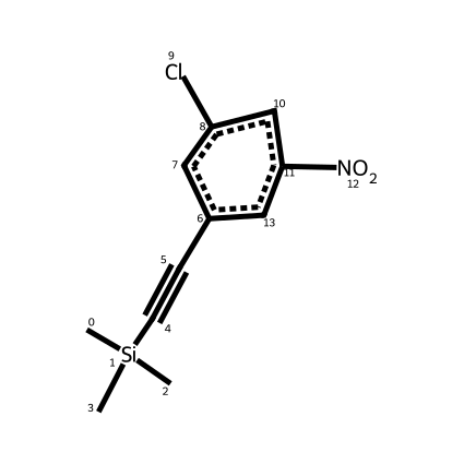 C[Si](C)(C)C#Cc1cc(Cl)cc([N+](=O)[O-])c1